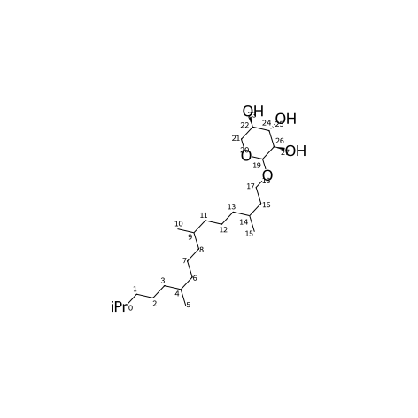 CC(C)CCCC(C)CCCC(C)CCCC(C)CCOC1OC[C@@H](O)[C@H](O)[C@H]1O